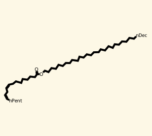 CCCCC/C=C\C/C=C\CCCCCCCC(=O)OCCCCCCCCCCCCCCCCCCCCCCCCCCCCCCCCCCCC